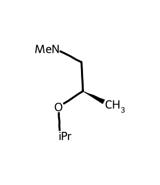 CNC[C@@H](C)OC(C)C